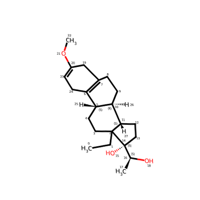 CCC12CC[C@@H]3C4=C(CC[C@H]3[C@@H]1CC[C@@]2(O)[C@H](C)O)CC(OC)=CC4